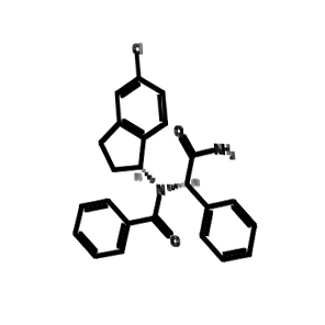 NC(=O)[C@H](c1ccccc1)N(C(=O)c1ccccc1)[C@@H]1CCc2cc(Cl)ccc21